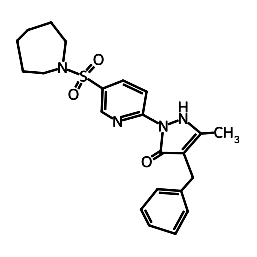 Cc1[nH]n(-c2ccc(S(=O)(=O)N3CCCCCC3)cn2)c(=O)c1Cc1ccccc1